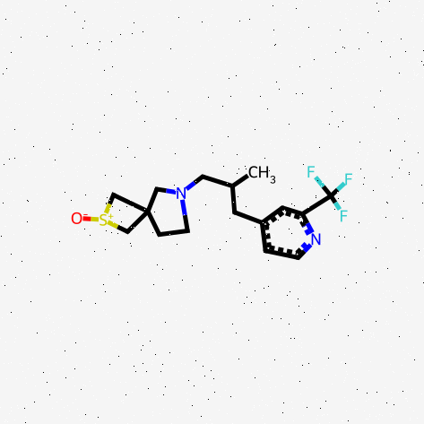 CC(Cc1ccnc(C(F)(F)F)c1)CN1CCC2(C1)C[S+]([O-])C2